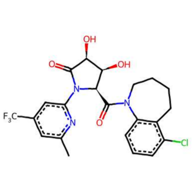 Cc1cc(C(F)(F)F)cc(N2C(=O)[C@@H](O)[C@@H](O)[C@H]2C(=O)N2CCCCc3c(Cl)cccc32)n1